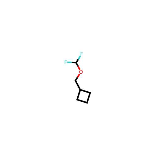 FC(F)OCC1CCC1